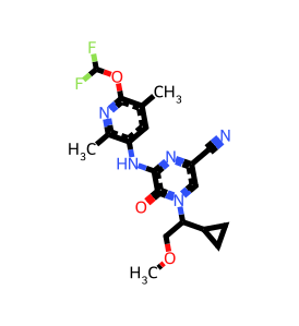 COCC(C1CC1)n1cc(C#N)nc(Nc2cc(C)c(OC(F)F)nc2C)c1=O